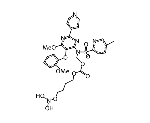 COc1ccccc1Oc1c(OC)nc(-c2ccncc2)nc1N(COC(=O)OCCCCON(O)O)S(=O)(=O)c1ccc(C)cn1